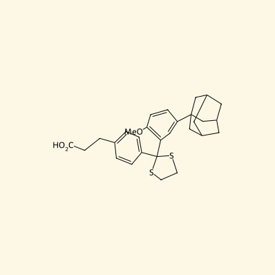 COc1ccc(C23CC4CC(CC(C4)C2)C3)cc1C1(c2ccc(CCC(=O)O)cc2)SCCS1